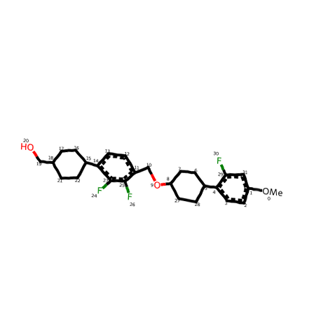 COc1ccc(C2CCC(OCc3ccc(C4CCC(CO)CC4)c(F)c3F)CC2)c(F)c1